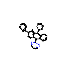 c1ccc(-c2ccc3c(-c4ncccn4)c4ccccc4c(-c4ccccc4)c3c2)cc1